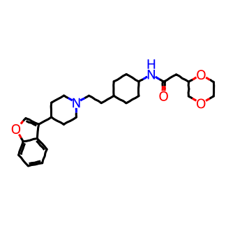 O=C(CC1COCCO1)NC1CCC(CCN2CCC(c3coc4ccccc34)CC2)CC1